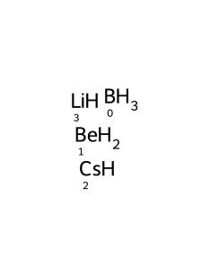 B.[BeH2].[CsH].[LiH]